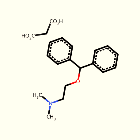 CN(C)CCOC(c1ccccc1)c1ccccc1.O=C(O)CC(=O)O